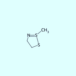 CS1=NCCS1